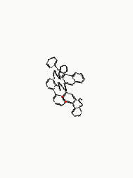 c1ccc(-c2nc3c(N(c4ccc5c(c4)sc4ccccc45)c4ccccc4-c4ccccc4)cc4ccccc4c3o2)cc1